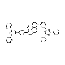 c1ccc(-c2nc(-c3ccccc3)nc(-c3cccc(-c4ccc5ccc6c(-c7ccc(-c8cc(-c9ccccn9)nc(-c9ccccn9)c8)cc7)ccc7ccc4c5c76)c3)n2)cc1